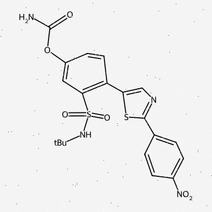 CC(C)(C)NS(=O)(=O)c1cc(OC(N)=O)ccc1-c1cnc(-c2ccc([N+](=O)[O-])cc2)s1